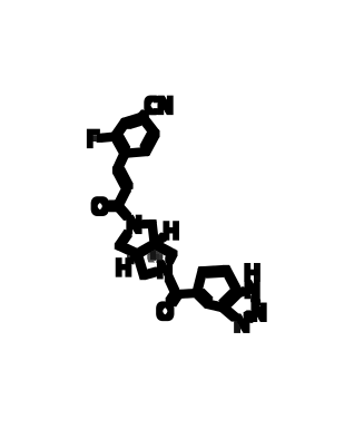 N#Cc1ccc(C=CC(=O)N2C[C@@H]3CN(C(=O)c4ccc5[nH]nnc5c4)C[C@H]3C2)c(F)c1